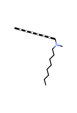 C=C=C=C=C=C=C=CN(C)CCCCCCCC